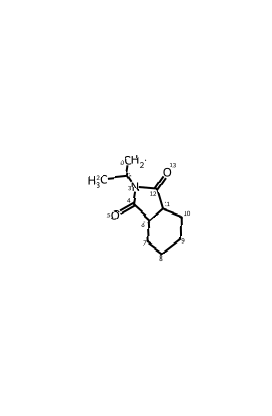 [CH2]C(C)N1C(=O)C2CCCCC2C1=O